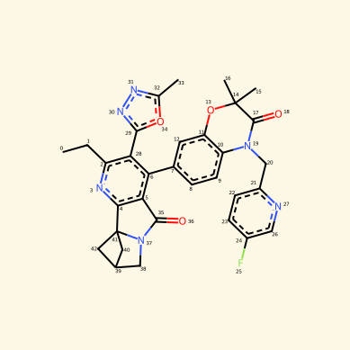 CCc1nc2c(c(-c3ccc4c(c3)OC(C)(C)C(=O)N4Cc3ccc(F)cn3)c1-c1nnc(C)o1)C(=O)N1CC3CC21C3